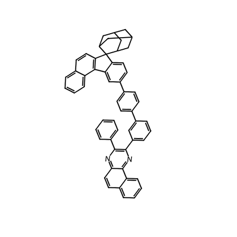 c1ccc(-c2nc3ccc4ccccc4c3nc2-c2cccc(-c3ccc(-c4ccc5c(c4)-c4c(ccc6ccccc46)C54C5CC6CC(C5)CC4C6)cc3)c2)cc1